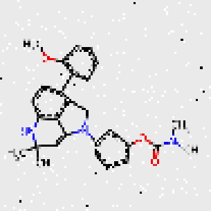 COc1ccccc1-c1ccc2c3c1CN(c1cccc(OC(=O)N(C)C)c1)C3=CC(C)(C)N2